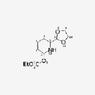 CCOC(=O)OC1CCCC(C2OCCO2)N1